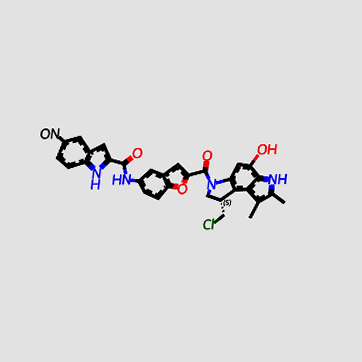 Cc1[nH]c2c(O)cc3c(c2c1C)[C@H](CCl)CN3C(=O)c1cc2cc(NC(=O)c3cc4cc(N=O)ccc4[nH]3)ccc2o1